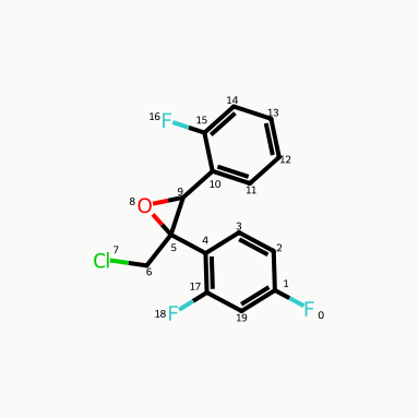 Fc1ccc(C2(CCl)OC2c2ccccc2F)c(F)c1